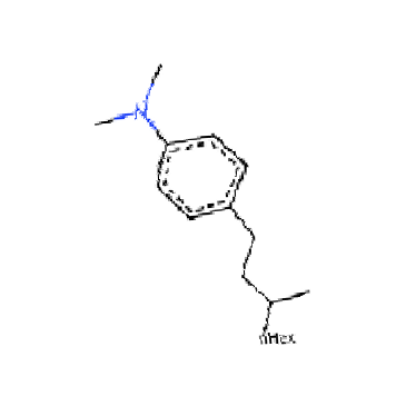 CCCCCCC(C)CCc1ccc(N(C)C)cc1